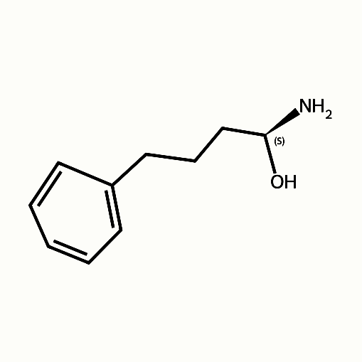 N[C@@H](O)CCCc1ccccc1